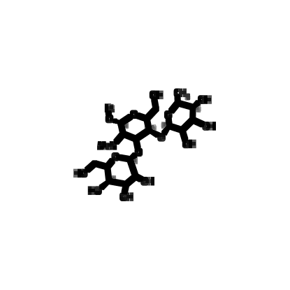 CCO[C@@H]1OC(CO)[C@@H](O[C@H]2OC(C)[C@@H](O)C(O)C2O)C(O[C@@H]2OC(CO)[C@H](O)C(O)C2O)C1NC